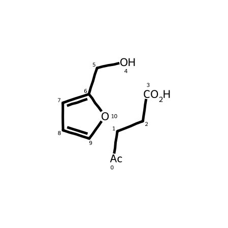 CC(=O)CCC(=O)O.OCc1ccco1